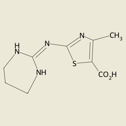 Cc1nc(N=C2NCCCN2)sc1C(=O)O